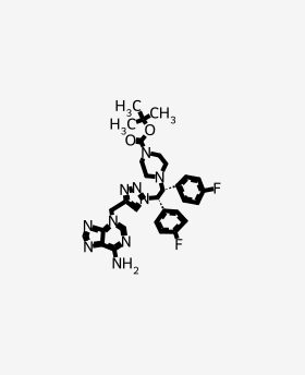 CC(C)(C)OC(=O)N1CCN([C@H](c2ccc(F)cc2)[C@H](c2ccc(F)cc2)n2cc(Cn3cnc(N)c4ncnc3-4)nn2)CC1